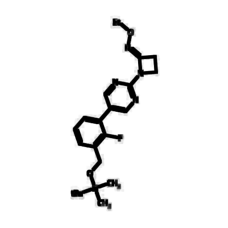 CCON=C1CCN1c1ncc(-c2cccc(CO[Si](C)(C)C(C)(C)C)c2F)cn1